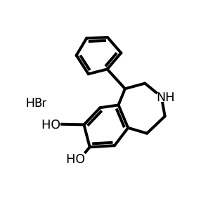 Br.Oc1cc2c(cc1O)C(c1ccccc1)CNCC2